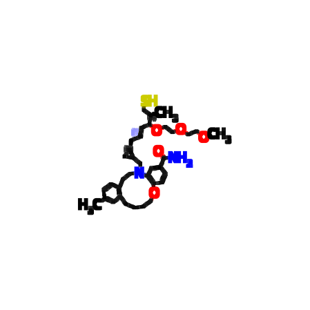 COCCOCCOC(/C=C/C[C@@H]1CC1CN1CCc2ccc(C)cc2CCCCOc2ccc(C(N)=O)cc21)[C@H](C)CS